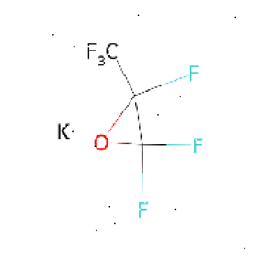 FC(F)(F)C1(F)OC1(F)F.[K]